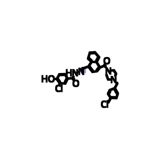 O=C(N/N=C/c1ccc(C(=O)N2CCN(Cc3ccc(Cl)cc3)CC2)c2ccccc12)c1ccc(O)c(Cl)c1